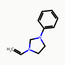 C=CN1CCN(c2ccccc2)C1